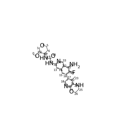 CO[C@@H]1COCC[C@H]1NC(=O)Nc1cc2cc(-c3cnc4c(c3C)NCCO4)c(F)c(N)c2cn1